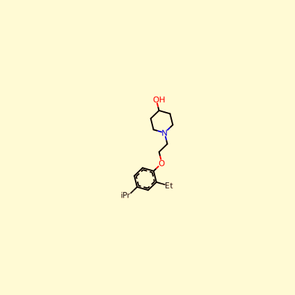 CCc1cc(C(C)C)ccc1OCCN1CCC(O)CC1